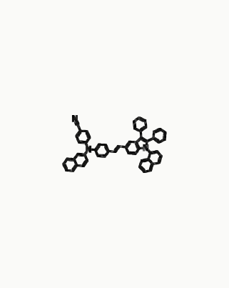 N#Cc1ccc(N(c2ccc(/C=C/c3ccc4c(c3)c(-c3ccccc3)c(-c3ccccc3)n4-c3cccc4ccccc34)cc2)c2ccc3ccccc3c2)cc1